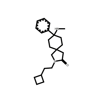 CNC1(c2ccccc2)CCC2(CC1)CC(=O)N(CCC1CCC1)C2